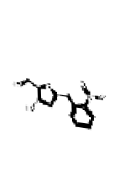 O=[N+]([O-])c1ccccc1C[C@H]1C[C@H](O)[C@@H](CO)O1